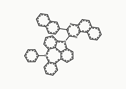 c1ccc(-n2c3ccccc3c3cccc4c3c3c2cccc3n4-c2nc3c(ccc4ccccc43)nc2-c2ccc3ccccc3c2)cc1